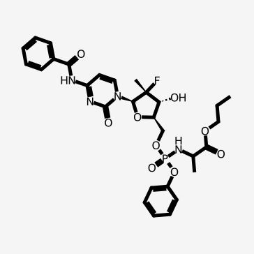 CCCOC(=O)C(C)NP(=O)(OC[C@H]1O[C@@H](n2ccc(NC(=O)c3ccccc3)nc2=O)[C@](C)(F)[C@@H]1O)Oc1ccccc1